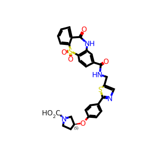 O=C(NCc1cnc(-c2ccc(O[C@H]3CCN(C(=O)O)C3)cc2)s1)c1ccc2c(c1)NC(=O)c1ccccc1S2(=O)=O